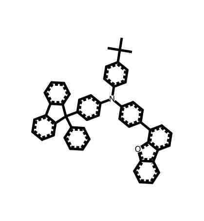 CC(C)(C)c1ccc(N(c2ccc(-c3cccc4c3oc3ccccc34)cc2)c2ccc(C3(c4ccccc4)c4ccccc4-c4ccccc43)cc2)cc1